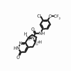 O=C(Nc1ccc(OC(F)(F)F)c(Cl)c1)N1[C@H]2CC[C@@H]1c1n[nH]c(=O)cc1C2